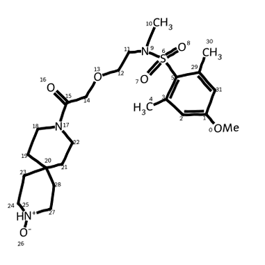 COc1cc(C)c(S(=O)(=O)N(C)CCOCC(=O)N2CCC3(CC2)CC[NH+]([O-])CC3)c(C)c1